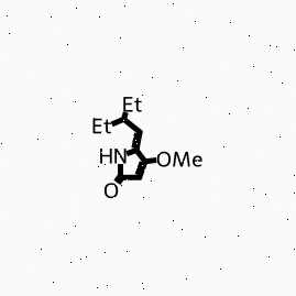 CCC(/C=C1\NC(=O)C=C1OC)CC